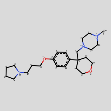 CC(C)N1CCN(CC2(c3ccc(OCCCN4CCCC4)cc3)CCOCC2)CC1